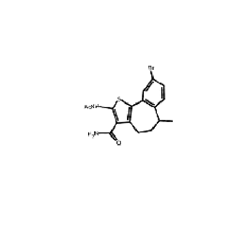 CC(=O)Nc1sc2c(c1C(N)=O)CCC(C)c1ccc(Br)cc1-2